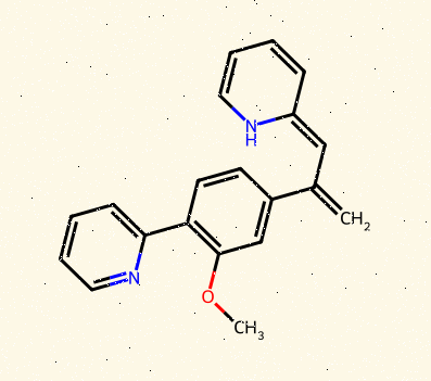 C=C(/C=C1/C=CC=CN1)c1ccc(-c2ccccn2)c(OC)c1